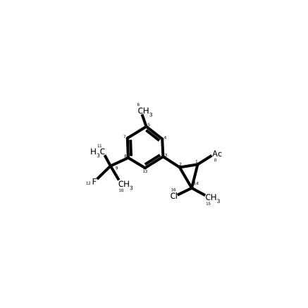 CC(=O)C1C(c2cc(C)cc(C(C)(C)F)c2)C1(C)Cl